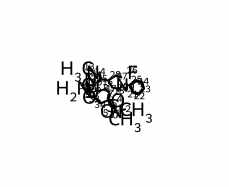 CN(C)S(=O)(=O)C1=CCC(c2nn(C)cc2C2CCN(c3ccccc3F)CC2)(S(N)(=O)=O)C=C1